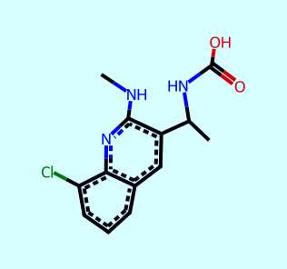 CNc1nc2c(Cl)cccc2cc1C(C)NC(=O)O